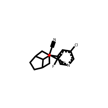 N#CC1(c2cncc(Cl)c2)CC2CCC(C1)C2CC(F)(F)F